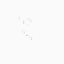 COC(C)(C(C)C(C)SC)N(C)c1sc(-c2cncc(F)c2)nc1C